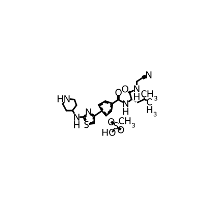 CC(C)C[C@H](NC(=O)c1ccc(-c2csc(NC3CCNCC3)n2)cc1)C(=O)NCC#N.CS(=O)(=O)O